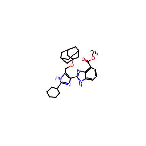 COC(=O)c1cccc2[nH]c(-c3nc(C4CCCCC4)[nH]c3COC34CC5CC(CC(C5)C3)C4)nc12